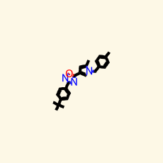 Cc1ccc(Cn2cc(-c3nc(-c4ccc(C(C)(C)C)cc4)no3)cc2C)cc1